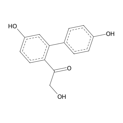 O=C(CO)c1ccc(O)cc1-c1ccc(O)cc1